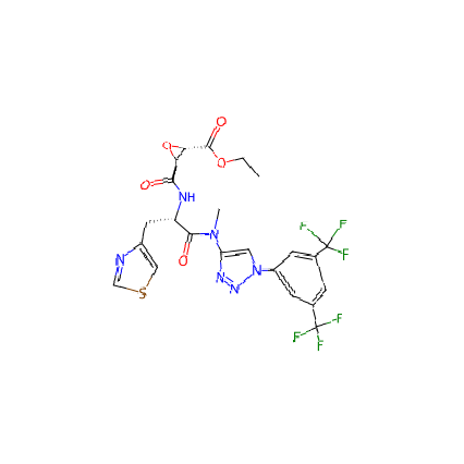 CCOC(=O)[C@H]1O[C@@H]1C(=O)N[C@@H](Cc1cscn1)C(=O)N(C)c1cn(-c2cc(C(F)(F)F)cc(C(F)(F)F)c2)nn1